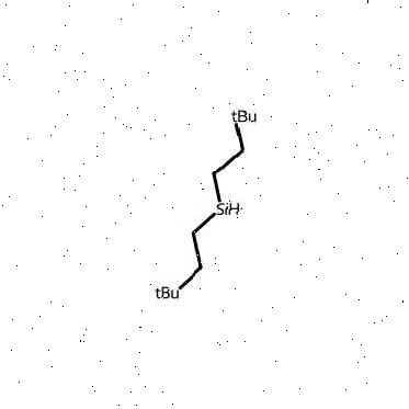 CC(C)(C)CC[SiH]CCC(C)(C)C